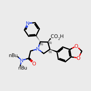 CCCCN(CCCC)C(=O)CN1C[C@H](c2ccc3c(c2)OCO3)[C@H](C(=O)O)[C@H]1c1ccncc1